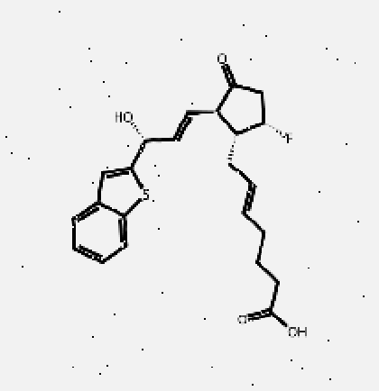 O=C(O)CCCC=CC[C@H]1[C@@H](F)CC(=O)[C@@H]1C=C[C@@H](O)c1cc2ccccc2s1